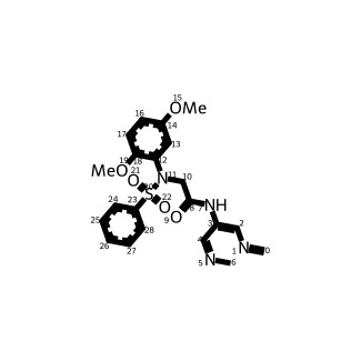 C=N/C=C(\C=N/C)NC(=O)CN(c1cc(OC)ccc1OC)S(=O)(=O)c1ccccc1